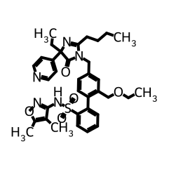 CCCCC1=NC(CC)(c2ccncc2)C(=O)N1Cc1ccc(-c2ccccc2S(=O)(=O)Nc2noc(C)c2C)c(COCC)c1